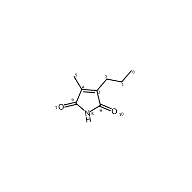 CCCC1=C(C)C(=O)NC1=O